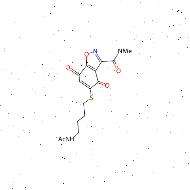 CNC(=O)c1noc2c1C(=O)C(SCCCCNC(C)=O)=CC2=O